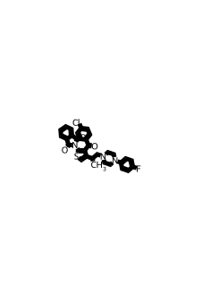 CC(CN1CCN(c2ccc(F)cc2)CC1)c1csc(N2C(=O)c3ccccc3C2=O)c1C(=O)c1ccc(Cl)cc1